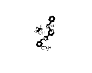 O=C(O)C(F)(F)F.O=C(O)c1cccc(Cn2cc(-c3ccnc(-c4ncc(-c5ccccc5)[nH]4)c3)cn2)c1